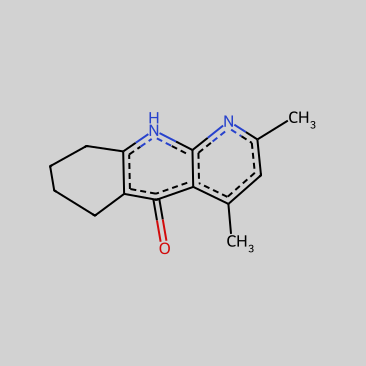 Cc1cc(C)c2c(=O)c3c([nH]c2n1)CCCC3